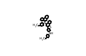 C=Cc1ccc(Nc2ccc3c(c2)sc2c4ccccc4c(N(c4ccc(C=C)cc4)c4cc5ccccc5c5ccccc45)cc32)cc1